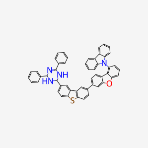 c1ccc(C2=NC(c3ccccc3)NC(c3ccc4sc5ccc(-c6ccc7c(c6)oc6cccc(-n8c9ccccc9c9ccccc98)c67)cc5c4c3)N2)cc1